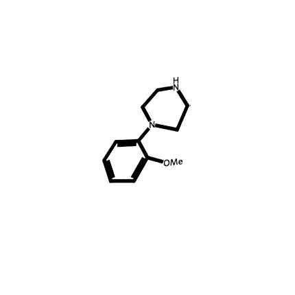 COc1ccccc1N1C[CH]NCC1